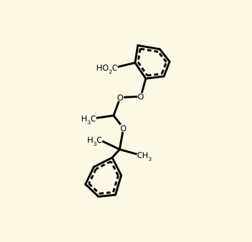 CC(OOc1ccccc1C(=O)O)OC(C)(C)c1ccccc1